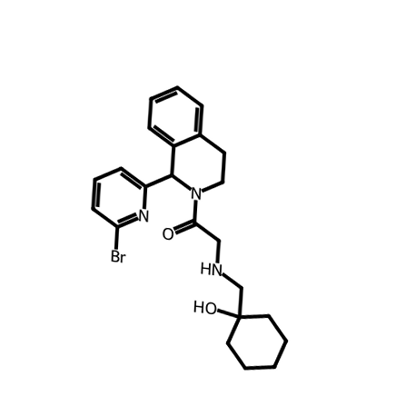 O=C(CNCC1(O)CCCCC1)N1CCc2ccccc2C1c1cccc(Br)n1